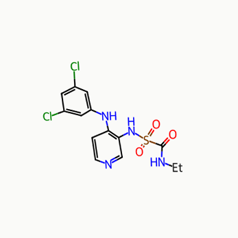 CCNC(=O)S(=O)(=O)Nc1cnccc1Nc1cc(Cl)cc(Cl)c1